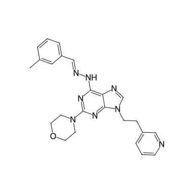 Cc1cccc(C=NNc2nc(N3CCOCC3)nc3c2ncn3CCc2cccnc2)c1